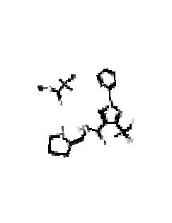 O=C(NCC1CCCN1)c1cn(-c2ccccc2)nc1C(F)(F)F.O=C(O)C(F)(F)F